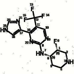 F[C@@H]1CNCC[C@@H]1Nc1ncc(C(F)(F)F)c(-c2c[nH]cn2)n1